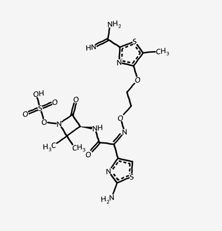 Cc1sc(C(=N)N)nc1OCCON=C(C(=O)N[C@@H]1C(=O)N(OS(=O)(=O)O)C1(C)C)c1csc(N)n1